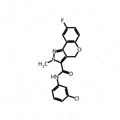 Cn1nc2c(c1C(=O)Nc1cccc(Cl)c1)COc1ccc(F)cc1-2